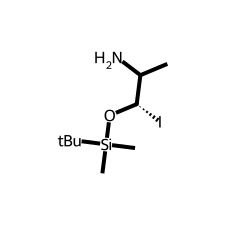 CC(N)[C@H](I)O[Si](C)(C)C(C)(C)C